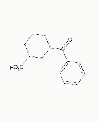 O=C(O)[C@@H]1CCCN(C(=O)c2ccccc2)C1